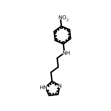 O=[N+]([O-])c1ccc(NCCCc2ncc[nH]2)cc1